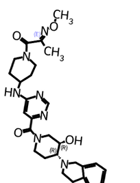 CO/N=C(\C)C(=O)N1CCC(Nc2cc(C(=O)N3CC[C@@H](N4CCc5ccccc5C4)[C@H](O)C3)ncn2)CC1